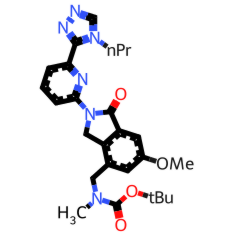 CCCn1cnnc1-c1cccc(N2Cc3c(CN(C)C(=O)OC(C)(C)C)cc(OC)cc3C2=O)n1